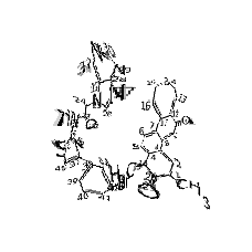 CC1C=c2c(ccc3c2=CC(=O)c2ccccc2-3)C(C)C1=O.O=C(Cn1cnc2ncncc21)Nc1nc(-c2cccc(Br)c2)cs1